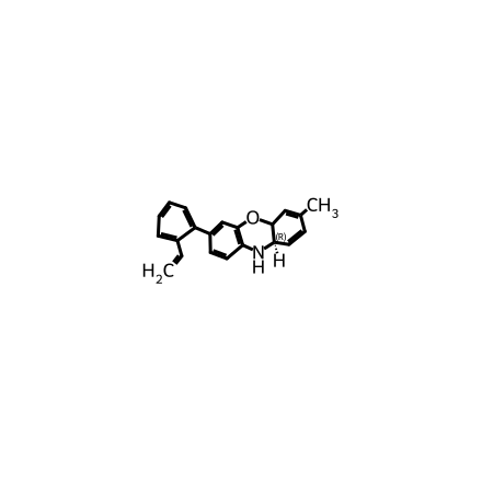 C=Cc1ccccc1-c1ccc2c(c1)OC1C=C(C)C=C[C@H]1N2